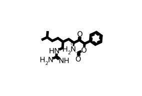 CC(C)CCC(CNC(=N)N)C[C@H](N)C(=O)C(O[C]=O)c1ccccc1